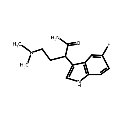 CN(C)CCC(C(N)=O)c1c[nH]c2ccc(F)cc12